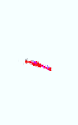 C[Si](C)(C)CCOCn1cc(C(F)(F)F)c2c(Oc3c(F)cc(NC(=O)NCCCN4CCOCC4)cc3C(F)(F)F)ccnc21